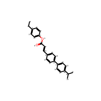 CCc1ccc(OC(=O)/C=C/c2ccc(-c3ccc(C(C)C)cc3)cc2)cc1